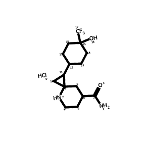 Cl.NC(=O)C1CCNC2(C1)CC2C1CCC(O)(C(F)(F)F)CC1